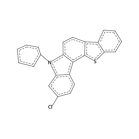 Clc1ccc2c3c4sc5ccccc5c4ccc3n(-c3ccccc3)c2c1